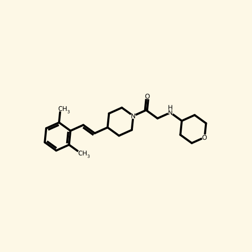 Cc1cccc(C)c1C=CC1CCN(C(=O)CNC2CCOCC2)CC1